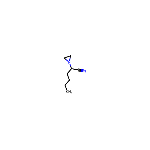 CCCCC(C#N)N1CC1